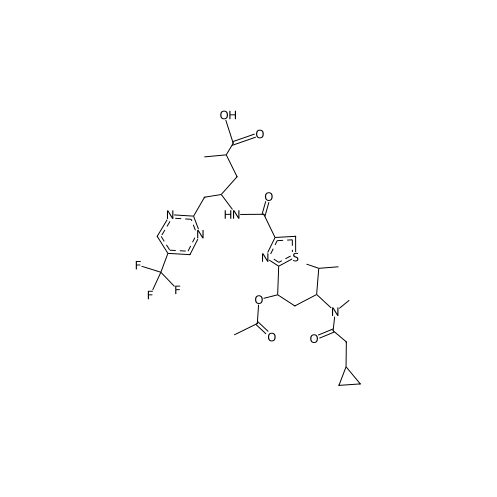 CC(=O)OC(CC(C(C)C)N(C)C(=O)CC1CC1)c1nc(C(=O)NC(Cc2ncc(C(F)(F)F)cn2)CC(C)C(=O)O)cs1